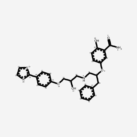 NC(=O)c1cc(OC(CNCC(O)COc2ccc(-c3nccs3)cc2)Cc2ccccc2)ccc1O